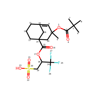 CC1(OC(=O)C(C)(C)C)C=C2CCCC(C(=O)OC(CS(=O)(=O)O)C(F)(F)F)(C2)C1